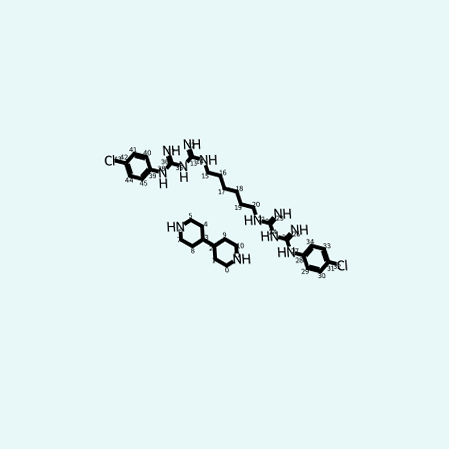 C1CC(C2CCNCC2)CCN1.N=C(NCCCCCCNC(=N)NC(=N)Nc1ccc(Cl)cc1)NC(=N)Nc1ccc(Cl)cc1